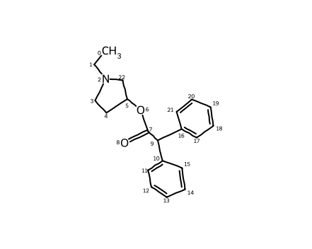 CCN1CCC(OC(=O)C(c2ccccc2)c2ccccc2)C1